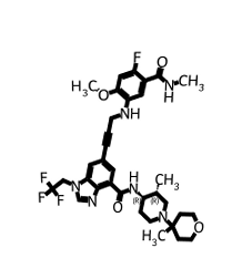 CNC(=O)c1cc(NCC#Cc2cc(C(=O)N[C@@H]3CCN(C4(C)CCOCC4)C[C@H]3C)c3ncn(CC(F)(F)F)c3c2)c(OC)cc1F